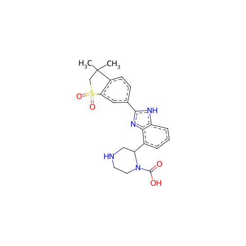 CC1(C)CS(=O)(=O)c2cc(-c3nc4c(C5CNCCN5C(=O)O)cccc4[nH]3)ccc21